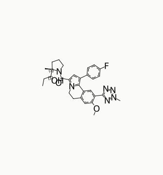 CC[C@H](O)[C@]1(C)CCCN1C(=O)c1cc(-c2ccc(F)cc2)c2n1CCc1cc(OC)c(-c3nnn(C)n3)cc1-2